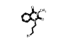 Cn1c(=O)c2ccccc2n(CCCBr)c1=O